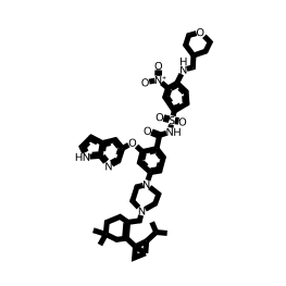 CC(C)C1C2CC21C1=C(CN2CCN(c3ccc(C(=O)NS(=O)(=O)c4ccc(NCC5CCOCC5)c([N+](=O)[O-])c4)c(Oc4cnc5[nH]ccc5c4)c3)CC2)CCC(C)(C)C1